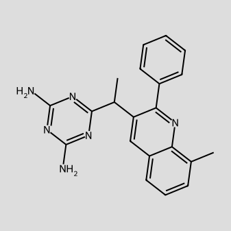 Cc1cccc2cc(C(C)c3nc(N)nc(N)n3)c(-c3ccccc3)nc12